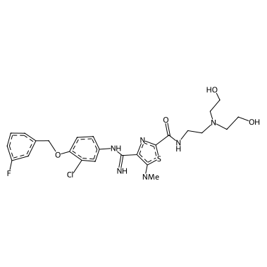 CNc1sc(C(=O)NCCN(CCO)CCO)nc1C(=N)Nc1ccc(OCc2cccc(F)c2)c(Cl)c1